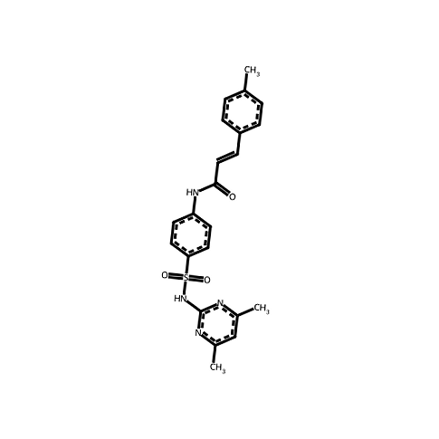 Cc1ccc(/C=C/C(=O)Nc2ccc(S(=O)(=O)Nc3nc(C)cc(C)n3)cc2)cc1